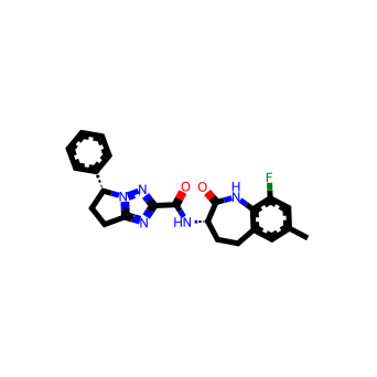 Cc1cc(F)c2c(c1)CC[C@H](NC(=O)c1nc3n(n1)[C@@H](c1ccccc1)CC3)C(=O)N2